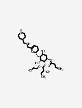 CC[C@@H](O)[C@H](OCCO)O[C@@H]1[C@@H](O)[C@H](O[C@@H]2CCC=C(CNCC3CCNCC3)O2)[C@@H](N)C[C@H]1NC(=O)CCN